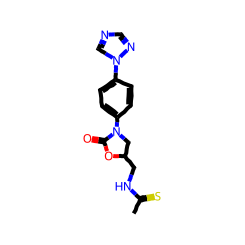 CC(=S)NCC1CN(c2ccc(-n3cncn3)cc2)C(=O)O1